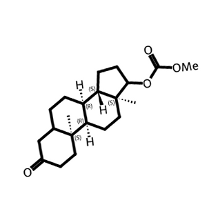 COC(=O)OC1CC[C@H]2[C@@H]3CCC4CC(=O)CC[C@]4(C)[C@@H]3CC[C@]12C